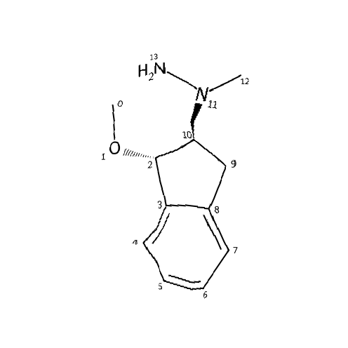 CO[C@H]1c2ccccc2C[C@@H]1N(C)N